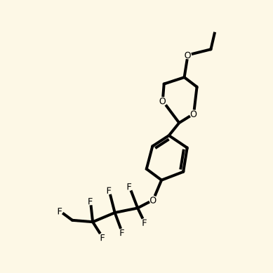 CCOC1COC(C2=CCC(OC(F)(F)C(F)(F)C(F)(F)CF)C=C2)OC1